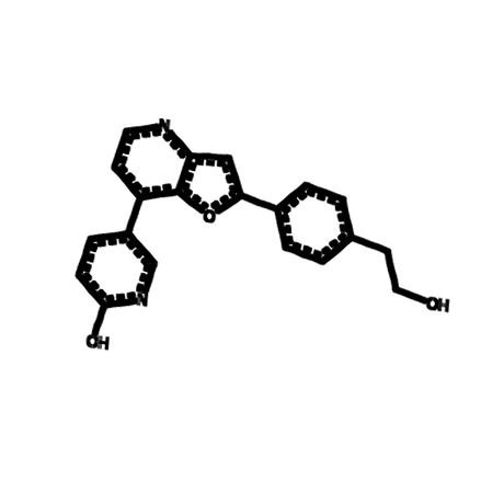 OCCc1ccc(-c2cc3nccc(-c4ccc(O)nc4)c3o2)cc1